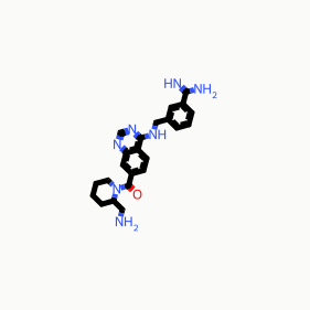 N=C(N)c1cccc(CNc2ncnc3cc(C(=O)N4CCCCC4CN)ccc23)c1